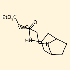 CCOC(=O)CC(=O)NC1CC2CCC(C1)N2CCOC